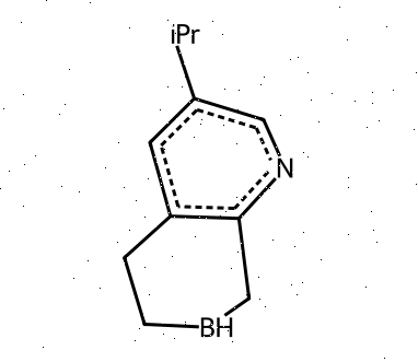 CC(C)c1cnc2c(c1)CCBC2